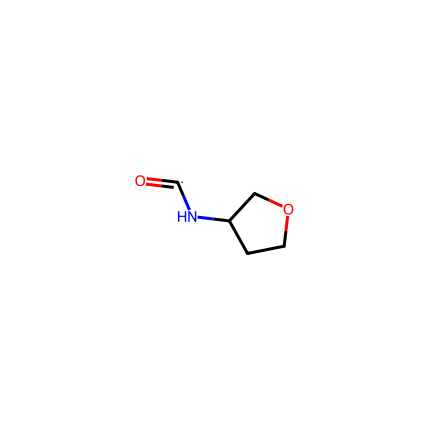 O=[C]NC1CCOC1